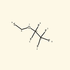 FC(F)(F)C(F)(F)OC[S]